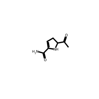 CC(=O)C1CC=C(C(N)=O)N1